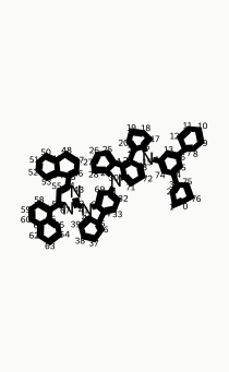 c1ccc(-c2cc(-c3ccccc3)cc(-n3c4ccccc4c4c5c6ccccc6n(-c6ccc7c8ccccc8n(-c8nc(-c9cccc%10ccccc9%10)cc(-c9cccc%10ccccc9%10)n8)c7c6)c5ccc43)c2)cc1